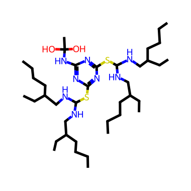 CCCCC(CC)CNC(NCC(CC)CCCC)Sc1nc(NC(C)(O)O)nc(SC(NCC(CC)CCCC)NCC(CC)CCCC)n1